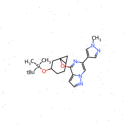 Cn1cc(-c2cn3nccc3c(OC34CC(O[Si](C)(C)C(C)(C)C)CCC3C4)n2)cn1